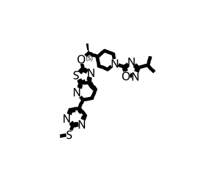 CSc1ncc(C2CC=c3nc(O[C@@H](C)C4CCN(c5nc(C(C)C)no5)CC4)sc3=N2)cn1